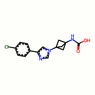 O=C(O)NC12CC(n3cnc(-c4ccc(Cl)cc4)c3)(C1)C2